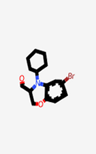 O=CC1COc2ccc(Br)cc2N1C1CCCCC1